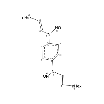 CCCCCCC=CN(N=O)c1ccc(N(C=CCCCCCC)N=O)cc1